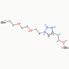 CC(C)(C)CCOCCOCCn1cc(CCOC(C)(C)C)nn1